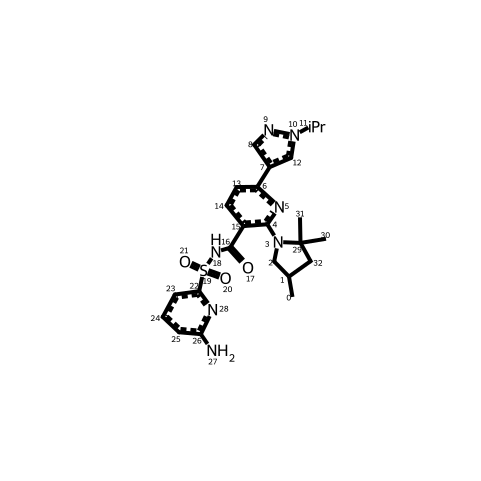 CC1CN(c2nc(-c3cnn(C(C)C)c3)ccc2C(=O)NS(=O)(=O)c2cccc(N)n2)C(C)(C)C1